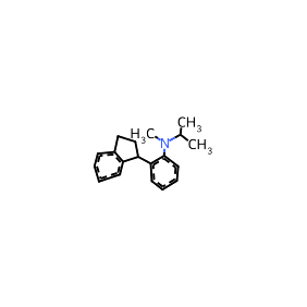 CC(C)N(C)c1ccccc1C1CCc2ccccc21